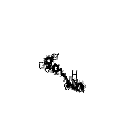 O=C(NCCCCC1CCN(C(=O)c2cc(Cl)ccc2Cl)CC1)c1cc2cnccc2[nH]1